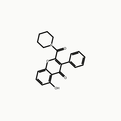 O=C(c1oc2cccc(O)c2c(=O)c1-c1ccccc1)N1CCCCC1